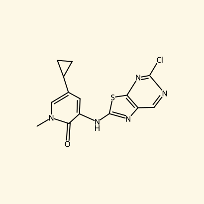 Cn1cc(C2CC2)cc(Nc2nc3cnc(Cl)nc3s2)c1=O